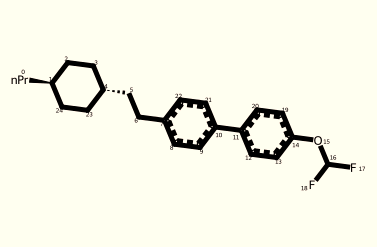 CCC[C@H]1CC[C@H](CCc2ccc(-c3ccc(OC(F)F)cc3)cc2)CC1